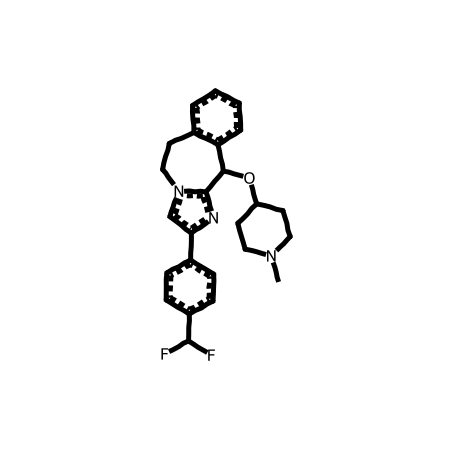 CN1CCC(OC2c3ccccc3CCn3cc(-c4ccc(C(F)F)cc4)nc32)CC1